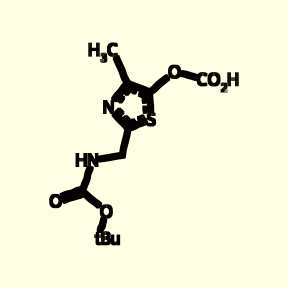 Cc1nc(CNC(=O)OC(C)(C)C)sc1OC(=O)O